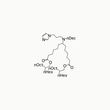 CCCCCCCCCCN(CCCn1ccnc1)C(CCCCCC(=O)OCC(CCCCCC)CCCCCCCC)CCCCCC(=O)OCC(CCCCCC)CCCCCCCC